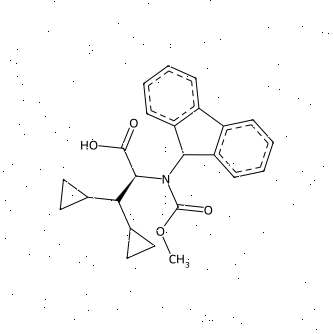 COC(=O)N(C1c2ccccc2-c2ccccc21)[C@H](C(=O)O)C(C1CC1)C1CC1